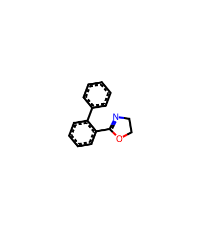 c1ccc(-c2ccccc2C2=NCCO2)cc1